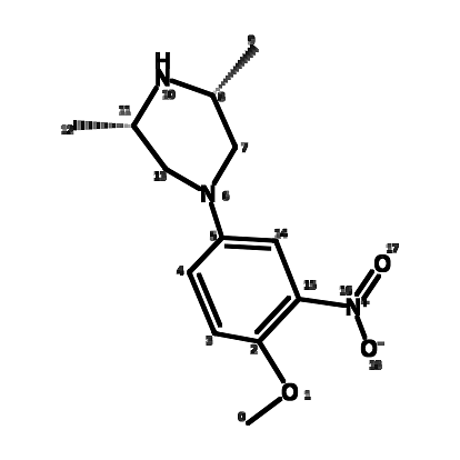 COc1ccc(N2C[C@@H](C)N[C@@H](C)C2)cc1[N+](=O)[O-]